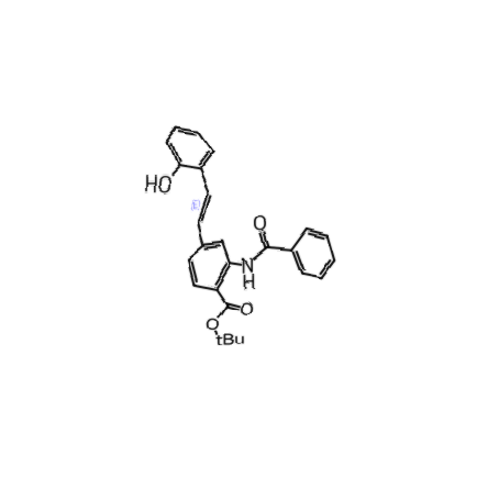 CC(C)(C)OC(=O)c1ccc(/C=C/c2ccccc2O)cc1NC(=O)c1ccccc1